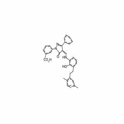 Cc1ccc(C)c(CCc2cccc(N/C=C3\C(=O)N(c4cccc(C(=O)O)c4)N=C3c3ccccc3)c2O)c1